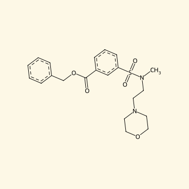 CN(CCN1CCOCC1)S(=O)(=O)c1cccc(C(=O)OCc2ccccc2)c1